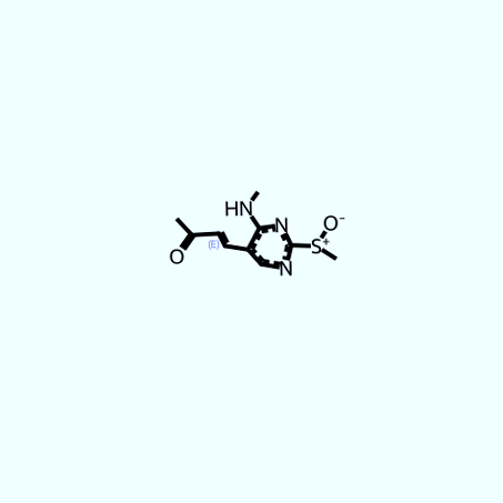 CNc1nc([S+](C)[O-])ncc1/C=C/C(C)=O